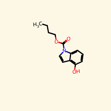 CCCCOC(=O)n1ccc2c(O)cccc21